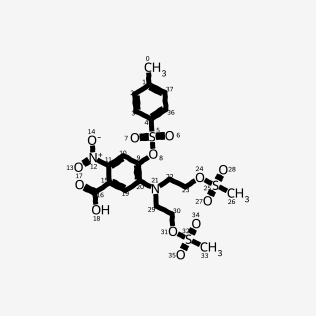 Cc1ccc(S(=O)(=O)Oc2cc([N+](=O)[O-])c(C(=O)O)cc2N(CCOS(C)(=O)=O)CCOS(C)(=O)=O)cc1